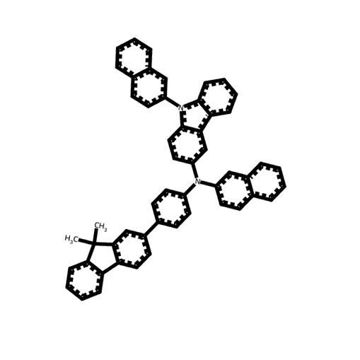 CC1(C)c2ccccc2-c2ccc(-c3ccc(N(c4ccc5ccccc5c4)c4ccc5c(c4)c4ccccc4n5-c4ccc5ccccc5c4)cc3)cc21